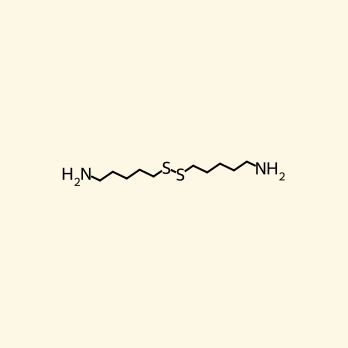 NCCCCCSSCCCCCN